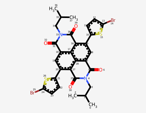 CC(C)CN1C(=O)c2cc(-c3ccc(Br)s3)c3c4c(cc(-c5ccc(Br)s5)c(c24)C1=O)C(=O)N(CC(C)C)C3=O